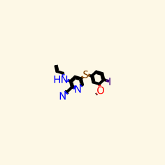 C=CCNc1cc(SC2=CC(OC)C(I)=C=C2)cnc1C#N